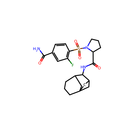 NC(=O)c1ccc(S(=O)(=O)N2CCCC2C(=O)NC2C3CCCC4(C3)CC2C4)c(F)c1